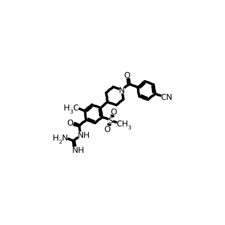 Cc1cc(C2CCN(C(=O)c3ccc(C#N)cc3)CC2)c(S(C)(=O)=O)cc1C(=O)NC(=N)N